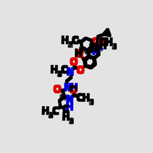 C=C1CC[C@@]2(O)[C@H]3Cc4ccc(OC(=O)N(C)CCNC(=O)[C@H](CC(C)C)NC(C)=O)c5c4[C@@]2(CC[N+]3(C)CC2CC2)[C@H]1O5